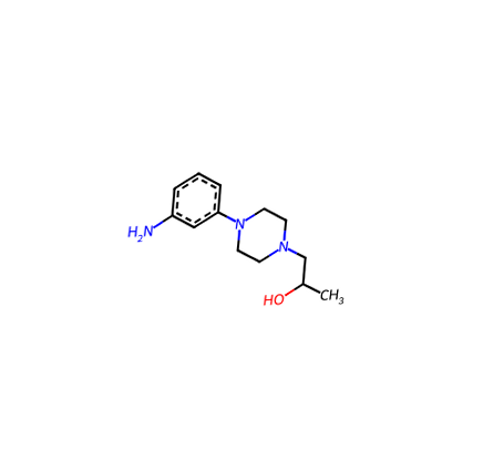 CC(O)CN1CCN(c2cccc(N)c2)CC1